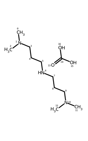 CN(C)CCCNCCCN(C)C.O=C(O)O